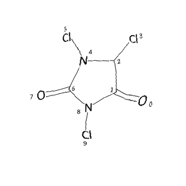 O=C1C(Cl)N(Cl)C(=O)N1Cl